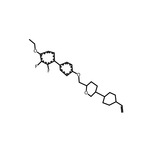 C=CC1CCC(C2CCC(COc3ccc(-c4ccc(OCC)c(F)c4F)cc3)OC2)CC1